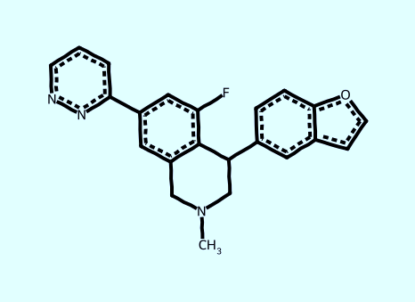 CN1Cc2cc(-c3cccnn3)cc(F)c2C(c2ccc3occc3c2)C1